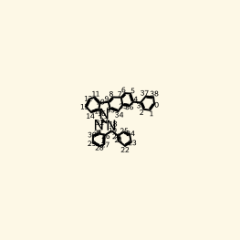 c1ccc(-c2ccc3cc4c5ccccc5n(-c5nc(-c6ccccc6)c6ccccc6n5)c4cc3c2)cc1